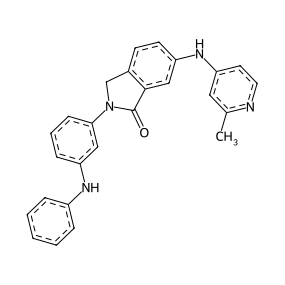 Cc1cc(Nc2ccc3c(c2)C(=O)N(c2cccc(Nc4ccccc4)c2)C3)ccn1